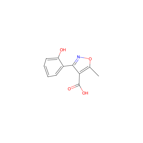 Cc1onc(-c2ccccc2O)c1C(=O)O